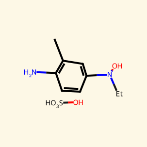 CCN(O)c1ccc(N)c(C)c1.O=S(=O)(O)O